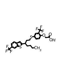 CCCCC(CCSc1ccc(OCC(=O)O)c(C(F)(F)F)c1)c1cc2ccc(C(F)(F)F)cc2s1